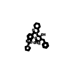 O=C(O)NC(Cc1ccccc1)[C@H](O)CN(CC1CCCCC1)C(=O)c1ccc2nc(N3CCCC3)oc2c1